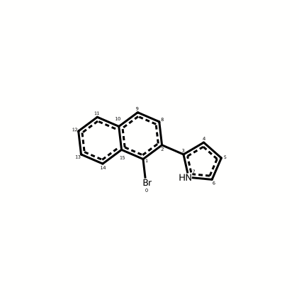 Brc1c(-c2ccc[nH]2)ccc2ccccc12